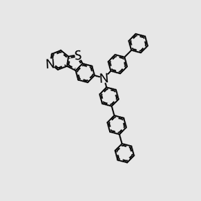 c1ccc(-c2ccc(-c3ccc(N(c4ccc(-c5ccccc5)cc4)c4ccc5c(c4)sc4ccncc45)cc3)cc2)cc1